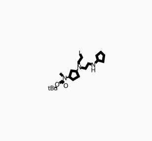 CN(C(=O)OC(C)(C)C)[C@@H]1CC[C@H](N(CCI)CCNC2CCCC2)C1